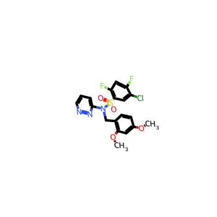 COc1ccc(CN(c2cccnn2)S(=O)(=O)c2cc(Cl)c(F)cc2F)c(OC)c1